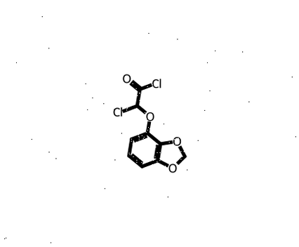 O=C(Cl)C(Cl)Oc1cccc2c1OCO2